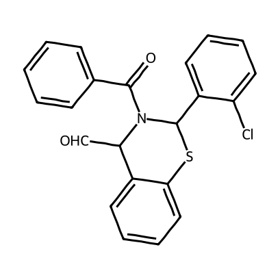 O=CC1c2ccccc2SC(c2ccccc2Cl)N1C(=O)c1ccccc1